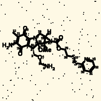 CO[C@@]12[C@H](COCN)C3=C(C(=O)C(C)=C(N)C3=O)N1C[C@H]1[C@@H]2N1C(=O)OCCSSc1ccccn1